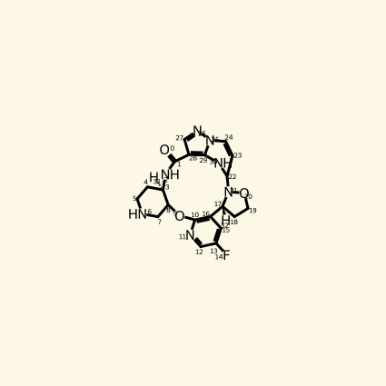 O=C1N[C@@H]2CCNCC2Oc2ncc(F)cc2[C@H]2CCON2C2C=Cn3ncc1c3N2